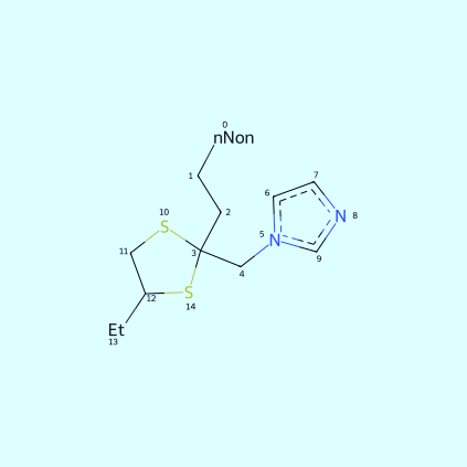 CCCCCCCCCCCC1(Cn2ccnc2)SCC(CC)S1